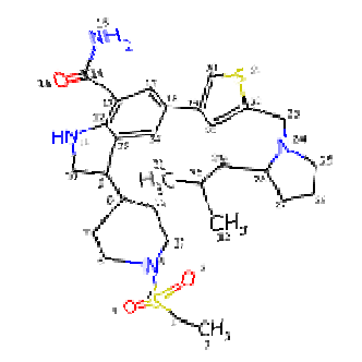 CCS(=O)(=O)N1CCC(C2CNc3c(C(N)=O)cc(-c4csc(CN5CCCC5CC(C)C)c4)cc32)CC1